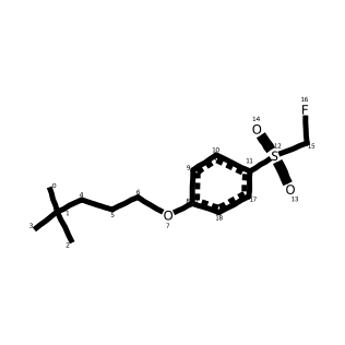 CC(C)(C)CCCOc1ccc(S(=O)(=O)CF)cc1